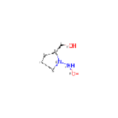 OC[C@@H]1CCCN1NO